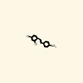 O=[N+]([O-])c1ccc(/C=C/c2ccc(Cl)cc2Cl)cc1